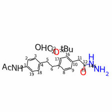 CC(=O)Nc1ccc(CCc2ccc(CC(=O)NN)cc2)cc1.CC(C)(C)OC=O